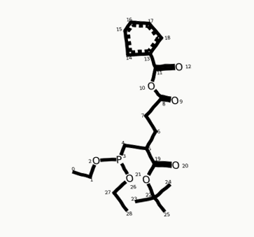 CCOP(CC(CCC(=O)OC(=O)c1ccccc1)C(=O)OC(C)(C)C)OCC